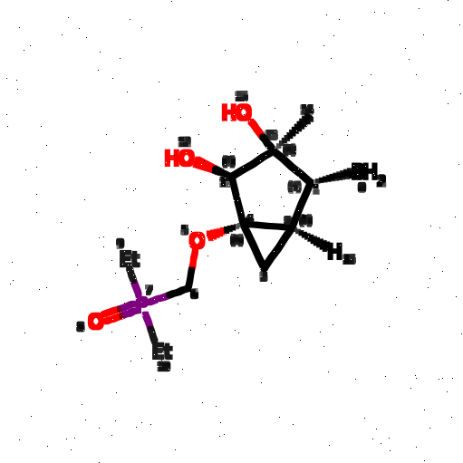 B[C@@H]1[C@H]2C[C@@]2(OCP(=O)(CC)CC)[C@@H](O)[C@@]1(C)O